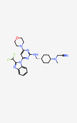 CN(CC#N)[C@H]1CC[C@H](CNc2nc(N3CCOCC3)cc(-n3c(C(F)F)nc4ccccc43)n2)CC1